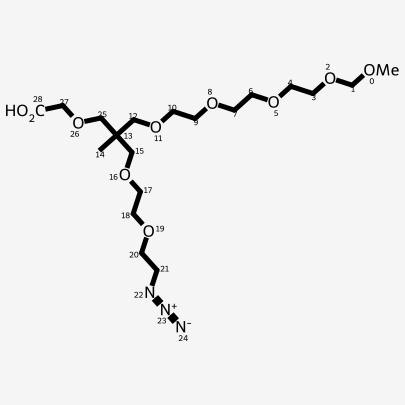 COCOCCOCCOCCOCC(C)(COCCOCCN=[N+]=[N-])COCC(=O)O